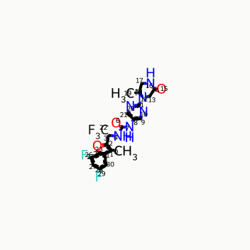 Cc1c(C(NC(=O)Nc2cnc(N3CC(=O)NC[C@@H]3C)nc2)C(F)(F)F)oc2c(F)cc(F)cc12